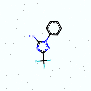 Nc1nc(C(F)(F)F)nn1-c1ccccc1